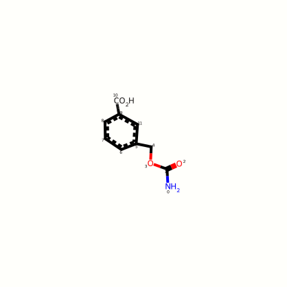 NC(=O)OCc1cccc(C(=O)O)c1